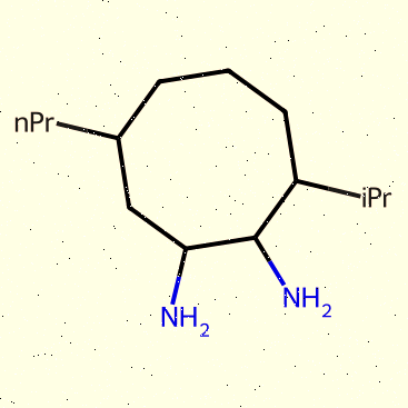 CCCC1CCCC(C(C)C)C(N)C(N)C1